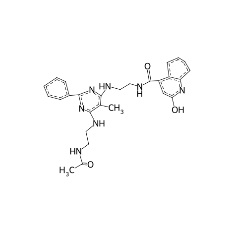 CC(=O)NCCNc1nc(-c2ccccc2)nc(NCCNC(=O)c2cc(O)nc3ccccc23)c1C